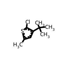 Cc1cc(C(C)(C)C)c(Cl)s1